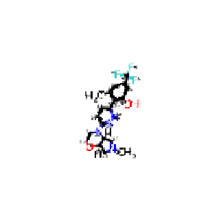 Cc1cc(C(F)(F)F)cc(O)c1-c1ccc(N2CCO[C@@H]3CN(C)C[C@H]32)nn1